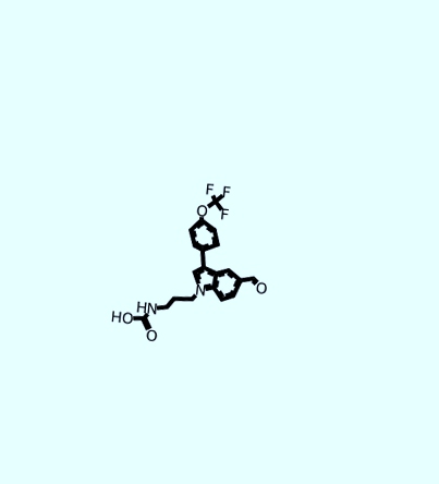 O=Cc1ccc2c(c1)c(-c1ccc(OC(F)(F)F)cc1)cn2CCCNC(=O)O